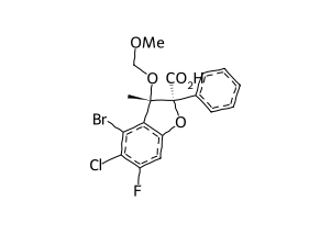 COCO[C@@]1(C)c2c(cc(F)c(Cl)c2Br)O[C@]1(C(=O)O)c1ccccc1